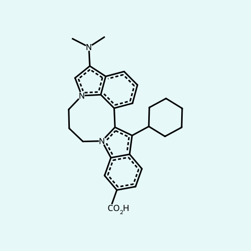 CN(C)c1cn2c3c(cccc13)-c1c(C3CCCCC3)c3ccc(C(=O)O)cc3n1CCC2